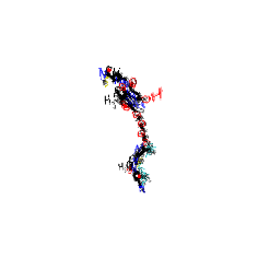 Cc1ncsc1-c1ccc(CNC(=O)[C@@H]2C[C@@H](O)CN2C(=O)[C@@H](NC(=O)COCCOCCOCCOc2ncc(N3C(=S)N(c4ccc(C#N)c(C(F)(F)F)c4F)C(=O)C3(C)C)cc2C(F)(F)F)C(C)(C)C)cc1